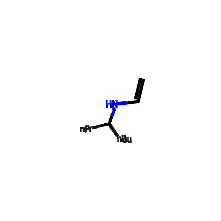 C=CNC(CCC)CCCC